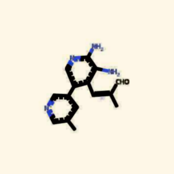 C/C(C=O)=C/c1c(-c2cncc(C)c2)cnc(N)c1N